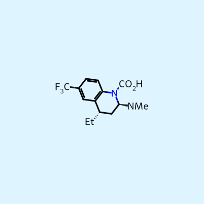 CC[C@H]1C[C@H](NC)N(C(=O)O)c2ccc(C(F)(F)F)cc21